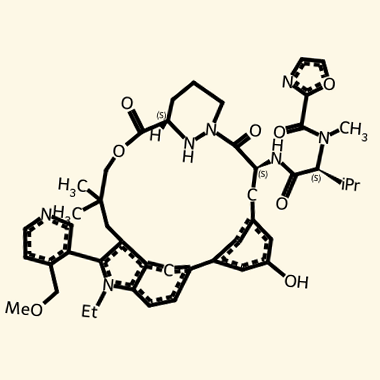 CCn1c(-c2cnccc2COC)c2c3cc(ccc31)-c1cc(O)cc(c1)C[C@H](NC(=O)[C@H](C(C)C)N(C)C(=O)c1ncco1)C(=O)N1CCC[C@H](N1)C(=O)OCC(C)(C)C2